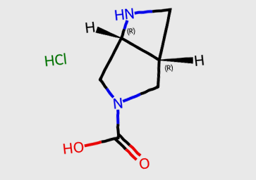 Cl.O=C(O)N1C[C@H]2CN[C@H]2C1